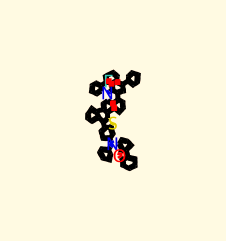 Fc1cc(-c2ccccc2)cc(-c2ccccc2)c1N(c1ccc2c(c1)c1ccccc1c1c3ccc(N(c4ccccc4)c4cccc5c4oc4ccccc45)cc3sc21)c1ccccc1-c1ccccc1